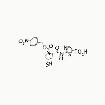 O=C(O)c1cnc(NC(=O)[C@@H]2C[C@H](S)CN2C(=O)OCc2ccc([N+](=O)[O-])cc2)s1